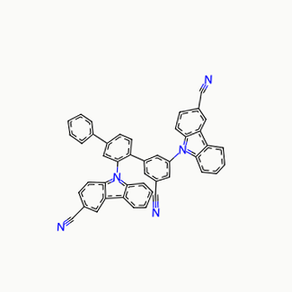 N#Cc1cc(-c2ccc(-c3ccccc3)cc2-n2c3ccccc3c3cc(C#N)ccc32)cc(-n2c3ccccc3c3cc(C#N)ccc32)c1